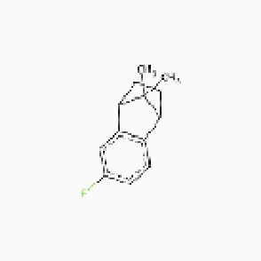 CC1(C)C2CCC1c1cc(F)ccc12